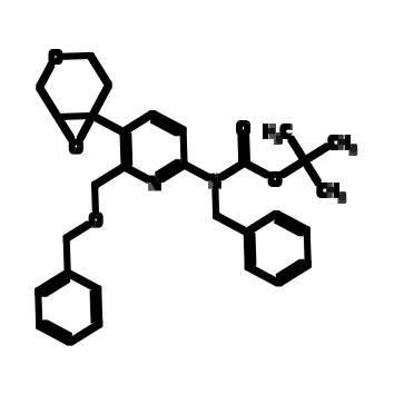 CC(C)(C)OC(=O)N(Cc1ccccc1)c1ccc(C23CCOCC2O3)c(COCc2ccccc2)n1